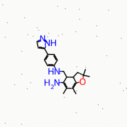 CC1=C(N)C(CNc2ccc(-c3ccn[nH]3)cc2)C2CC(C)(C)OC2=C1C